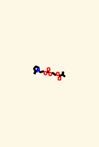 C=C(C)C(=O)OCCOC(=O)OCCN1CCCC1=C